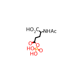 CC(=O)N[C@@H](CCC(=O)OP(=O)(O)O)C(=O)O